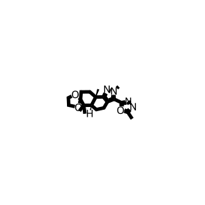 Cc1nnc(-c2c3c(nn2C)[C@@]2(C)CCC4(OCCO4)C(C)(C)[C@@H]2CC3)o1